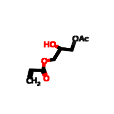 C=CC(=O)OCC(O)COC(C)=O